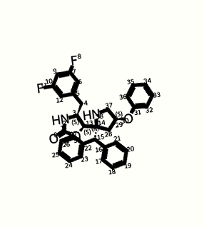 O=C1N[C@@H](Cc2cc(F)cc(F)c2)[C@@H]([C@]2(C(c3ccccc3)c3ccccc3)C[C@H](Oc3ccccc3)CN2)O1